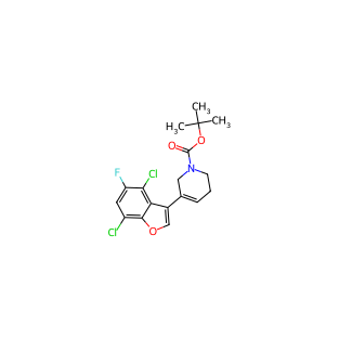 CC(C)(C)OC(=O)N1CCC=C(c2coc3c(Cl)cc(F)c(Cl)c23)C1